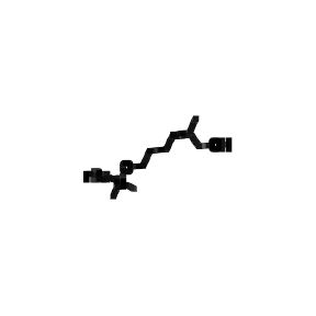 CCCC[Si](C)(C)OCCCC=C(C)CO